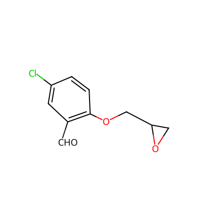 O=Cc1cc(Cl)ccc1OCC1CO1